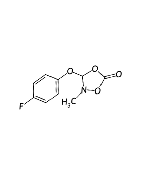 CN1OC(=O)OC1Oc1ccc(F)cc1